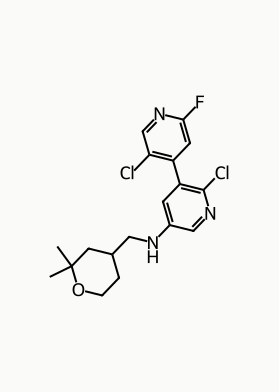 CC1(C)CC(CNc2cnc(Cl)c(-c3cc(F)ncc3Cl)c2)CCO1